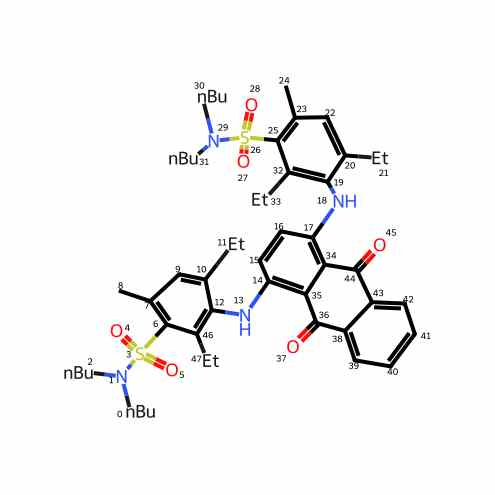 CCCCN(CCCC)S(=O)(=O)c1c(C)cc(CC)c(Nc2ccc(Nc3c(CC)cc(C)c(S(=O)(=O)N(CCCC)CCCC)c3CC)c3c2C(=O)c2ccccc2C3=O)c1CC